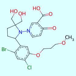 COCCCOc1cc(C2CCC(CO)(CO)N2n2ccc(=O)c(C(=O)O)c2)c(Br)cc1Cl